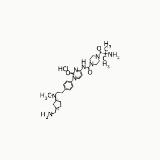 CN(CCc1ccc(-n2ccc(NC(=O)N3CCN(C(=O)C(C)(C)N)CC3)nc2=O)cc1)[C@H]1CC[C@@H](CN)C1.Cl